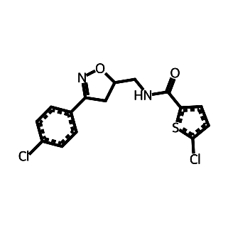 O=C(NCC1CC(c2ccc(Cl)cc2)=NO1)c1ccc(Cl)s1